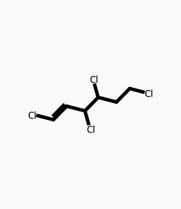 ClC=CC(Cl)C(Cl)CCCl